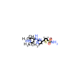 CC1(C)CC(Nc2nccc(-c3ccc(S(N)(=O)=O)s3)n2)CC(C)(C)N1